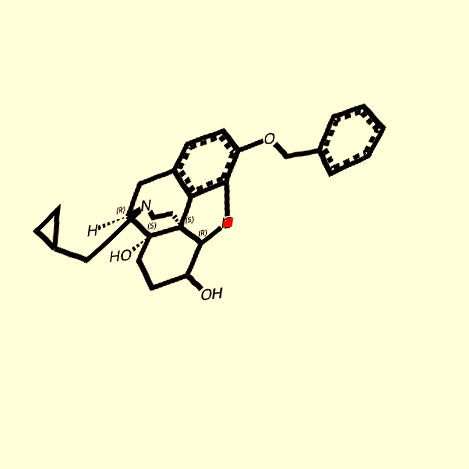 OC1CC[C@@]2(O)[C@H]3Cc4ccc(OCc5ccccc5)c5c4[C@@]2(CCN3CC2CC2)[C@H]1O5